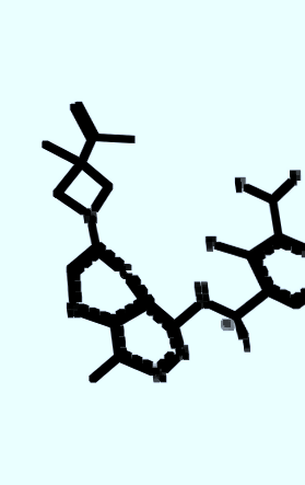 C=C(C)C1(C)CN(c2cnc3c(C)nnc(N[C@H](I)c4cccc(C(F)F)c4F)c3c2)C1